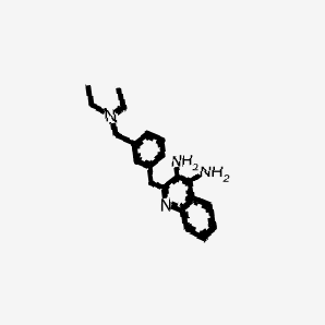 CCN(CC)Cc1cccc(Cc2nc3ccccc3c(N)c2N)c1